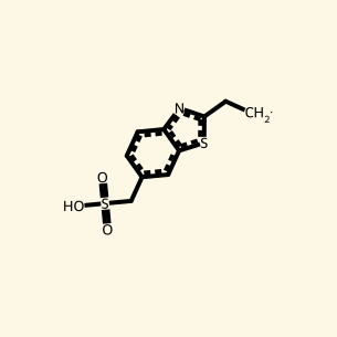 [CH2]Cc1nc2ccc(CS(=O)(=O)O)cc2s1